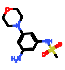 CS(=O)(=O)Nc1cc(N)cc(N2CCOCC2)c1